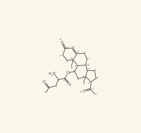 CC(=O)CC(N)C(=O)OC1CC2(C)C(C(C)=O)CCC2C2CCC3=CC(=O)CCC3(C)C12